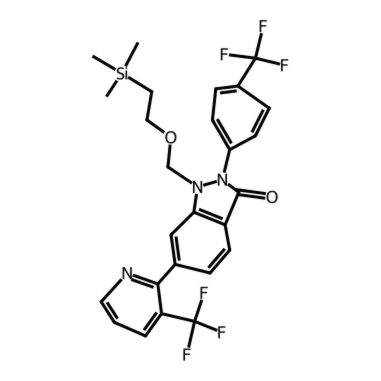 C[Si](C)(C)CCOCn1c2cc(-c3ncccc3C(F)(F)F)ccc2c(=O)n1-c1ccc(C(F)(F)F)cc1